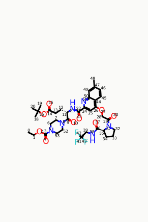 CCOC(=O)N1CCN(C(=O)[C@H](CCC(=O)OC(C)(C)C)NC(=O)c2cc(OCC(=O)N3CCC[C@H]3C(=O)NCC(F)(F)F)c3ccc(C)cc3n2)CC1